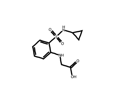 O=C(O)CNc1ccccc1S(=O)(=O)NC1CC1